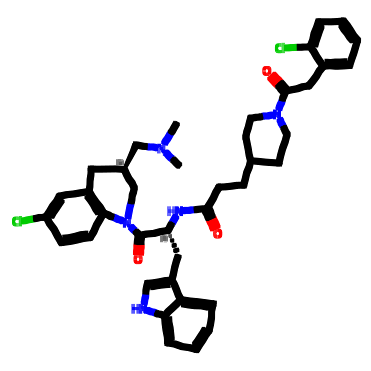 CN(C)C[C@@H]1Cc2cc(Cl)ccc2N(C(=O)[C@@H](Cc2c[nH]c3ccccc23)NC(=O)CCC2CCN(C(=O)Cc3ccccc3Cl)CC2)C1